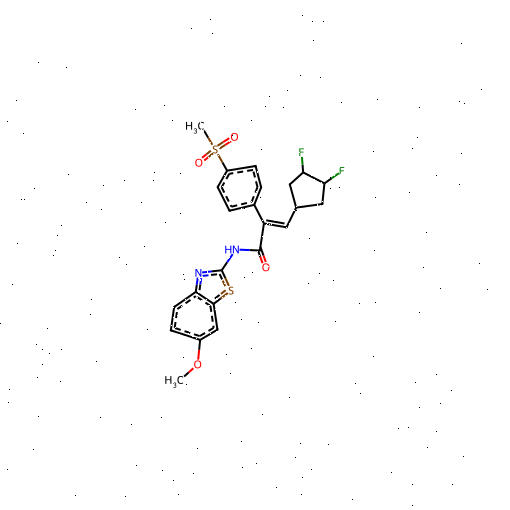 COc1ccc2nc(NC(=O)/C(=C/C3CC(F)C(F)C3)c3ccc(S(C)(=O)=O)cc3)sc2c1